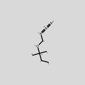 CCC(C)(C)OCN=[N+]=[N-]